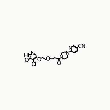 N#Cc1ccc(N2CCN(C(=O)CCOCCOc3cn[nH]c(=O)c3Cl)CC2)nc1